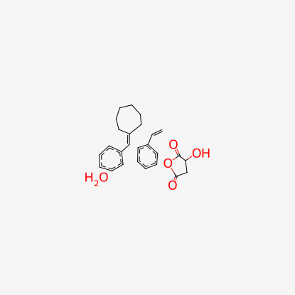 C(=C1CCCCCC1)c1ccccc1.C=Cc1ccccc1.O.O=C1CC(O)C(=O)O1